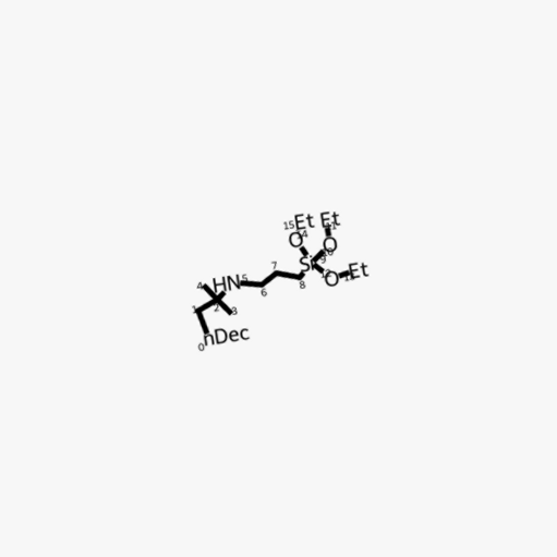 CCCCCCCCCCCC(C)(C)NCCC[Si](OCC)(OCC)OCC